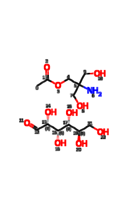 CC(=O)OCC(N)(CO)CO.O=C[C@H](O)[C@@H](O)[C@H](O)[C@H](O)CO